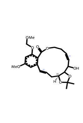 COCOc1cc(OC)cc2c1C(=O)OCC/C=C\C(O)C1OC(C)(C)O[C@H]1C/C=C/2